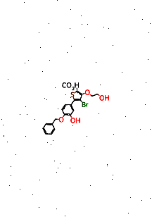 O=C(O)c1sc(-c2ccc(OCc3ccccc3)c(O)c2)c(Br)c1OCCO